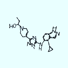 CCC(O)N1CC=C(c2nc(Nc3ccc4[nH]ncc4c3C3CC3)n(C)n2)CC1